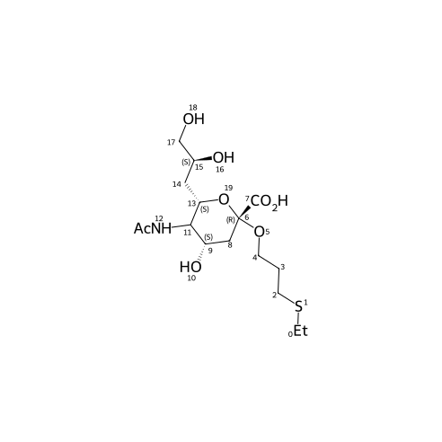 CCSCCCO[C@]1(C(=O)O)C[C@H](O)C(NC(C)=O)[C@H](C[C@H](O)CO)O1